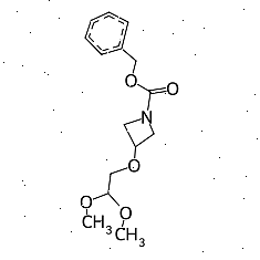 COC(COC1CN(C(=O)OCc2ccccc2)C1)OC